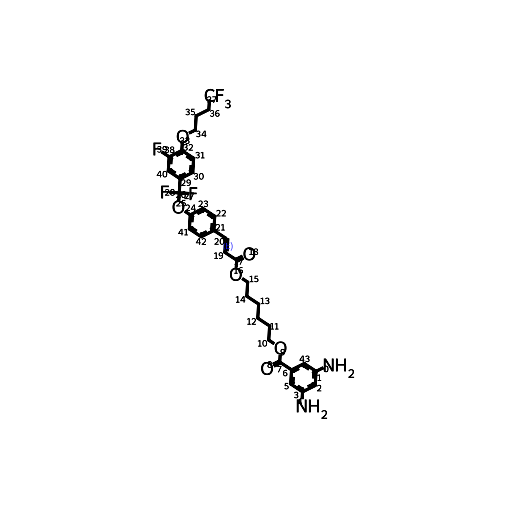 Nc1cc(N)cc(C(=O)OCCCCCCOC(=O)/C=C/c2ccc(OC(F)(F)c3ccc(OCCCC(F)(F)F)c(F)c3)cc2)c1